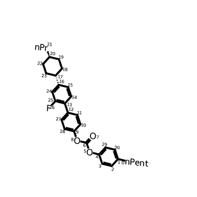 CCCCCc1ccc(OC(=O)Oc2ccc(-c3ccc([C@H]4CC[C@H](CCC)CC4)cc3F)cc2)cc1